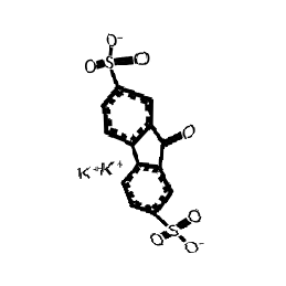 O=C1c2cc(S(=O)(=O)[O-])ccc2-c2ccc(S(=O)(=O)[O-])cc21.[K+].[K+]